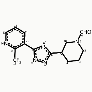 O=CN1CCCC(c2nnc(-c3cccnc3C(F)(F)F)s2)C1